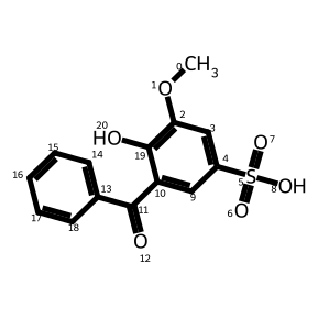 COc1cc(S(=O)(=O)O)cc(C(=O)c2ccccc2)c1O